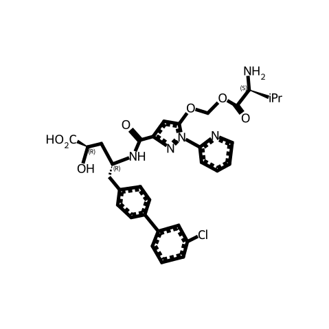 CC(C)[C@H](N)C(=O)OCOc1cc(C(=O)N[C@H](Cc2ccc(-c3cccc(Cl)c3)cc2)C[C@@H](O)C(=O)O)nn1-c1ccccn1